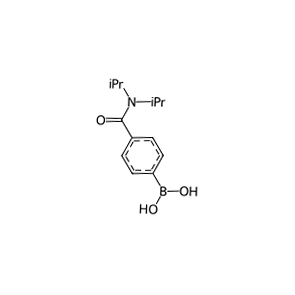 CC(C)N(C(=O)c1ccc(B(O)O)cc1)C(C)C